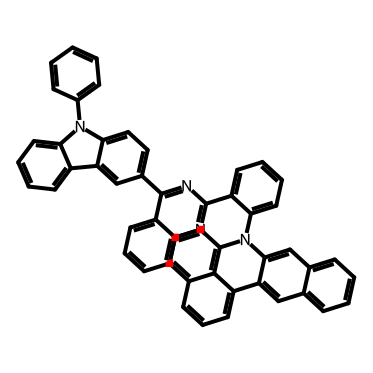 c1ccc(-n2c3ccccc3c3cc(-c4nc(-c5ccccc5N5c6cc7ccccc7cc6-c6cccc7cccc5c67)nc5ccccc45)ccc32)cc1